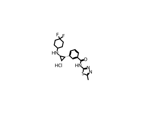 Cc1nnc(NC(=O)c2cccc([C@@H]3C[C@H]3NC3CCC(F)(F)CC3)c2)s1.Cl